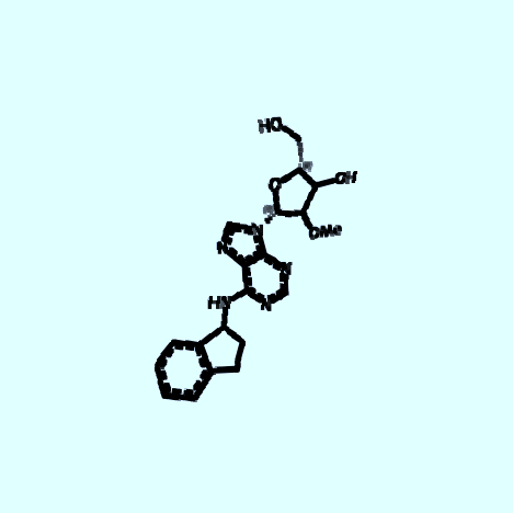 COC1C(O)[C@@H](CO)O[C@H]1n1cnc2c(NC3CCc4ccccc43)ncnc21